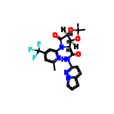 Cc1cc(C(F)(F)F)cc(N2C(=O)[C@H]3OC(C)(C)O[C@H]3[C@H]2C(=O)Nc2ccc3cccn3n2)n1